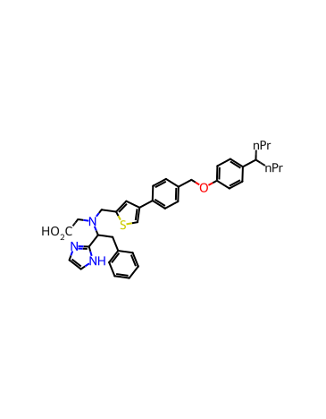 CCCC(CCC)c1ccc(OCc2ccc(-c3csc(CN(CC(=O)O)C(Cc4ccccc4)c4ncc[nH]4)c3)cc2)cc1